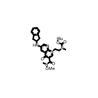 CON(C)C(=O)c1cn(CCN(C)C(=O)OC(C)(C)C)c2ncc(NC3Cc4ccccc4C3)cc2c1=O